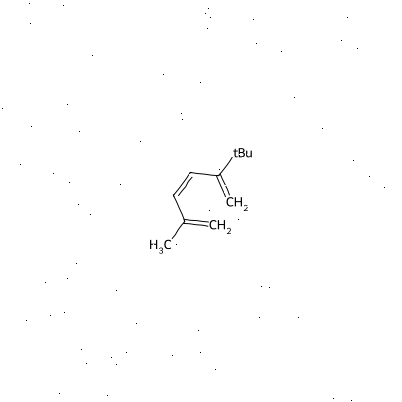 C=C(C)/C=C\C(=C)C(C)(C)C